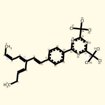 C/C=C\C=C(/C=CCC)C=Cc1ccc(-c2nc(C(Cl)(Cl)Cl)nc(C(Cl)(Cl)Cl)n2)cc1